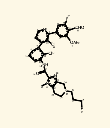 COc1cc(-c2nccc(-c3cccc(NC(=O)c4nc5c(n4C)CCN(CCCF)C5)c3Cl)c2Cl)cc(F)c1C=O